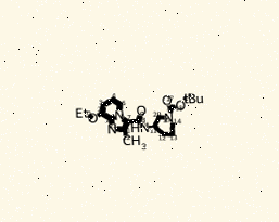 CCOc1cccn2c(C(=O)N[C@@H]3CCCN(C(=O)OC(C)(C)C)C3)c(C)nc12